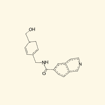 O=C(NCC1=CCC(CO)C=C1)c1ccc2cnccc2c1